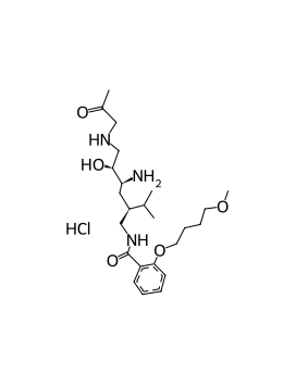 COCCCCOc1ccccc1C(=O)NC[C@@H](C[C@H](N)[C@@H](O)CNCC(C)=O)C(C)C.Cl